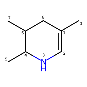 CC1=CNC(C)C(C)C1